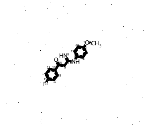 COc1ccc(NC(=N)CC(=O)c2ccc(F)cc2)cc1